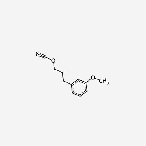 COc1cccc(CCCOC#N)c1